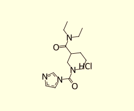 CCN(CC)C(=O)C1CCCN(C(=O)n2ccnc2)C1.Cl